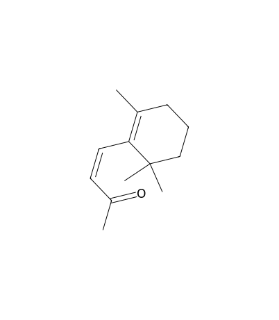 CC(=O)/C=C\C1=C(C)CCCC1(C)C